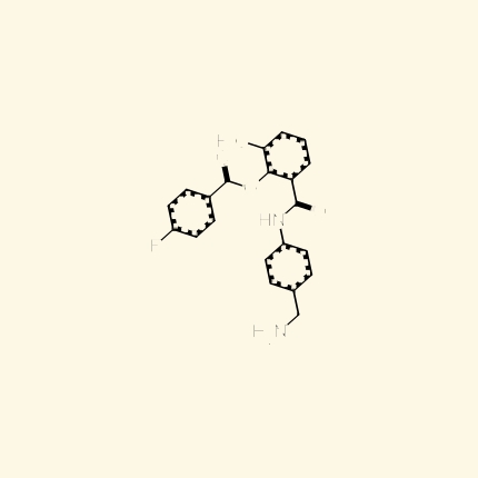 NCc1ccc(NC(=O)c2cccc(C(F)(F)F)c2OC(=O)c2ccc(F)cc2)cc1